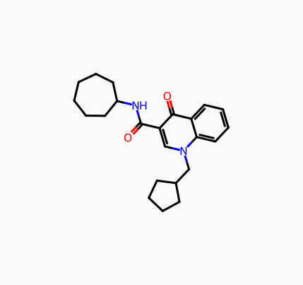 O=C(NC1CCCCCC1)c1cn(CC2CCCC2)c2ccccc2c1=O